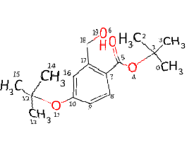 CC(C)(C)OC(=O)c1ccc(OC(C)(C)C)cc1CO